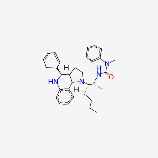 CCCC[C@@H]([C@@H](C)NC(=O)N(C)c1ccccc1)N1CC[C@@H]2[C@H](C3C=CC=CC3)Nc3ccccc3[C@@H]21